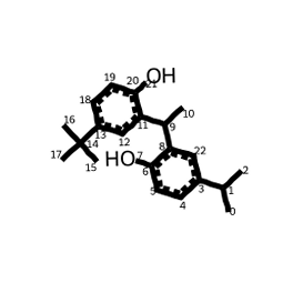 CC(C)c1ccc(O)c(C(C)c2cc(C(C)(C)C)ccc2O)c1